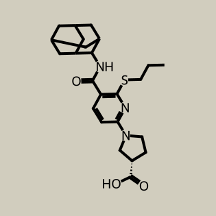 CCCSc1nc(N2CC[C@H](C(=O)O)C2)ccc1C(=O)NC1C2CC3CC(C2)CC1C3